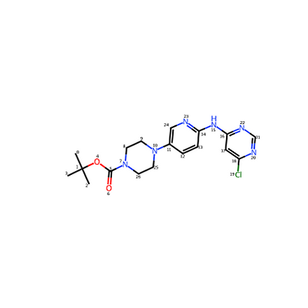 CC(C)(C)OC(=O)N1CCN(c2ccc(Nc3cc(Cl)ncn3)nc2)CC1